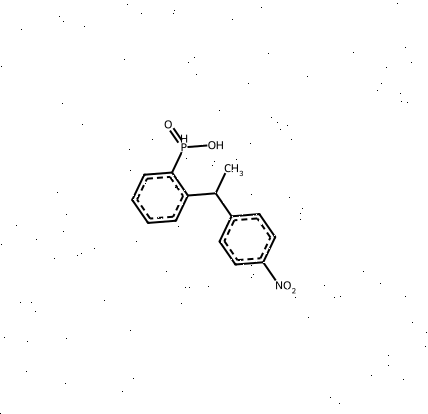 CC(c1ccc([N+](=O)[O-])cc1)c1ccccc1[PH](=O)O